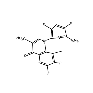 CNc1nc(-n2cc(C(=O)O)c(=O)c3cc(F)c(F)c(C)c32)c(F)cc1F